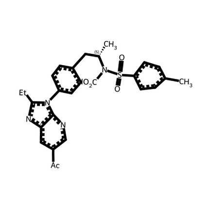 CCc1nc2cc(C(C)=O)cnc2n1-c1ccc(C[C@H](C)N(C(=O)O)S(=O)(=O)c2ccc(C)cc2)cc1